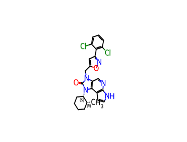 C[C@@H]1CCCC[C@@H]1n1c(=O)n(Cc2cc(-c3c(Cl)cccc3Cl)no2)c2cnc3[nH]ccc3c21